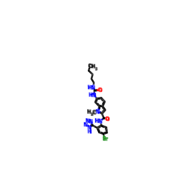 CCCCCNC(=O)Nc1ccc2cc(C(=O)Nc3ccc(Br)cc3-c3nnn[nH]3)n(C)c2c1